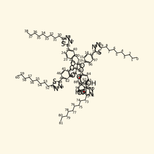 CCCCCCCCCc1nnc(-c2ccc(OC(CC)(Oc3ccc(-c4nnc(CCCCCCCCC)s4)cc3)C(Oc3ccc(-c4nnc(CCCCCCCCC)s4)cc3)(Oc3ccc(-c4nnc(CCCCCCCCC)s4)cc3)C(=O)OCC(CO)(CO)CO)cc2)s1